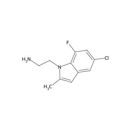 Cc1cc2cc(Cl)cc(F)c2n1CCN